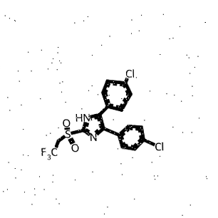 O=S(=O)(CC(F)(F)F)c1nc(-c2ccc(Cl)cc2)c(-c2ccc(Cl)cc2)[nH]1